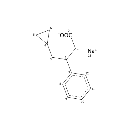 O=C([O-])CC(CC1CC1)c1ccccc1.[Na+]